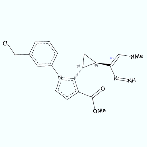 CN/C=C(\N=N)[C@@H]1C[C@H]1c1c(C(=O)OC)ccn1-c1cccc(CCl)c1